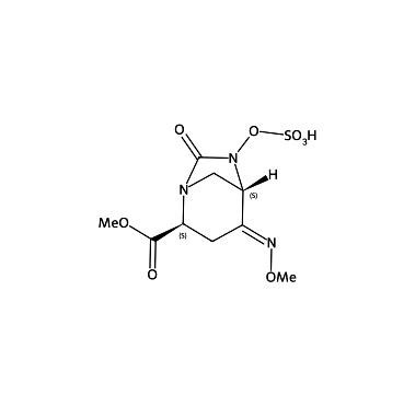 CON=C1C[C@@H](C(=O)OC)N2C[C@@H]1N(OS(=O)(=O)O)C2=O